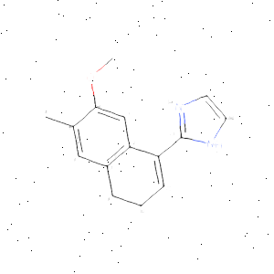 COc1cc2c(cc1C)CCC=C2c1ncc[nH]1